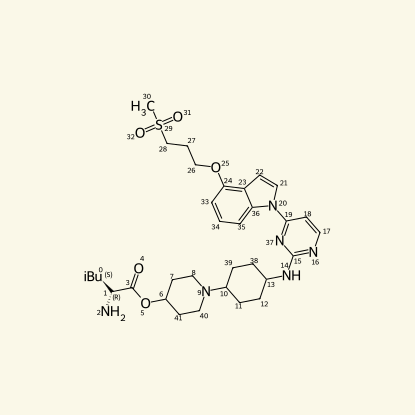 CC[C@H](C)[C@@H](N)C(=O)OC1CCN(C2CCC(Nc3nccc(-n4ccc5c(OCCCS(C)(=O)=O)cccc54)n3)CC2)CC1